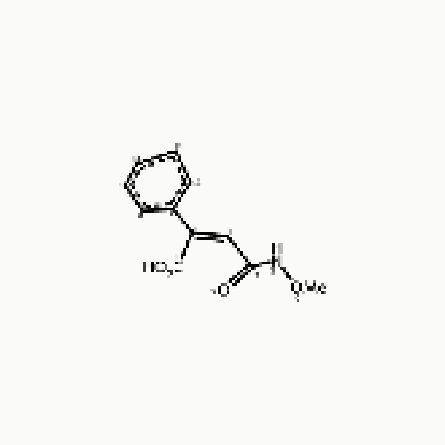 CONC(=O)C=C(C(=O)O)c1ccccc1